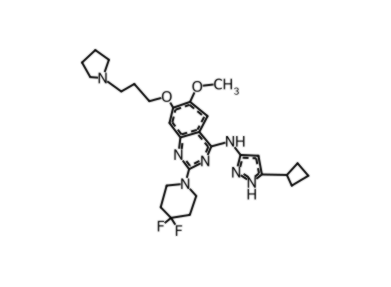 COc1cc2c(Nc3cc(C4CCC4)[nH]n3)nc(N3CCC(F)(F)CC3)nc2cc1OCCCN1CCCC1